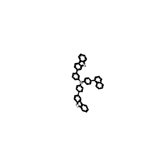 c1cc(-c2ccc3c(c2)sc2ccccc23)cc(N(c2ccc(-c3ccc4oc5ccccc5c4c3)cc2)c2ccc(-c3cccc4ccccc34)cc2)c1